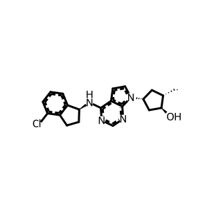 [CH2][C@H]1C[C@@H](n2ccc3c(N[C@H]4CCc5c(Cl)cccc54)ncnc32)C[C@@H]1O